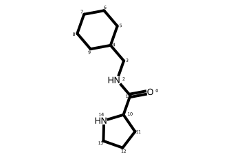 O=C(NCC1CCCCC1)C1CCCN1